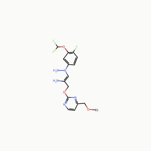 CCOCc1ccnc(OC/C(N)=C/N(N)c2ccc(F)c(OC(F)F)c2)n1